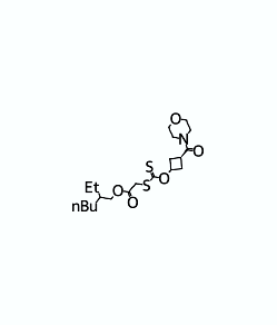 CCCCC(CC)COC(=O)CSC(=S)O[C@H]1C[C@@H](C(=O)N2CCOCC2)C1